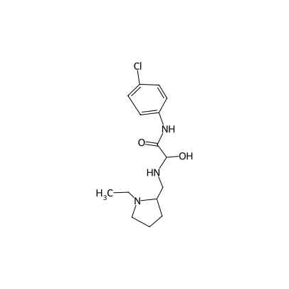 CCN1CCCC1CNC(O)C(=O)Nc1ccc(Cl)cc1